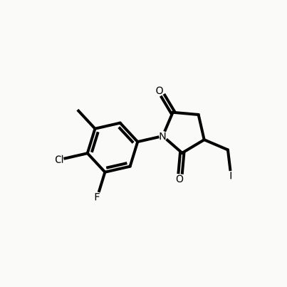 Cc1cc(N2C(=O)CC(CI)C2=O)cc(F)c1Cl